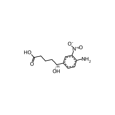 Nc1ccc([C@H](O)CCCC(=O)O)cc1[N+](=O)[O-]